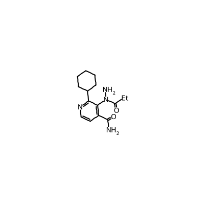 CCC(=O)N(N)c1c(C(N)=O)ccnc1C1CCCCC1